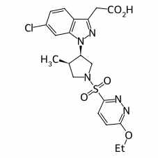 CCOc1ccc(S(=O)(=O)N2C[C@@H](C)[C@@H](n3nc(CC(=O)O)c4ccc(Cl)cc43)C2)nn1